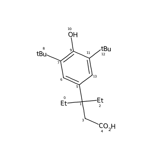 CCC(CC)(CC(=O)O)c1cc(C(C)(C)C)c(O)c(C(C)(C)C)c1